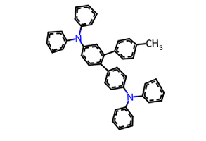 Cc1ccc(-c2cc(N(c3ccccc3)c3ccccc3)ccc2-c2ccc(N(c3ccccc3)c3ccccc3)cc2)cc1